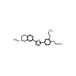 CCOc1ccc(-c2nnc(-c3ccc4c(c3)C[C@H](CO)CC4)o2)cc1OCC